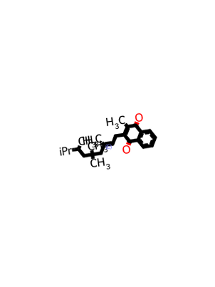 CC1=C(C/C=C(\C)CC(C)(C)CC(C)C(C)C)C(=O)c2ccccc2C1=O